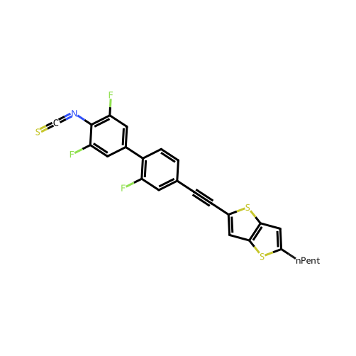 CCCCCc1cc2sc(C#Cc3ccc(-c4cc(F)c(N=C=S)c(F)c4)c(F)c3)cc2s1